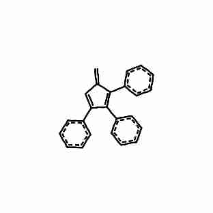 C=C1C=C(c2ccccc2)C(c2ccccc2)=C1c1ccccc1